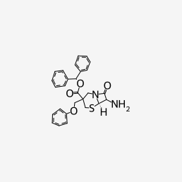 NC1C(=O)N2CC(COc3ccccc3)(C(=O)OC(c3ccccc3)c3ccccc3)CS[C@H]12